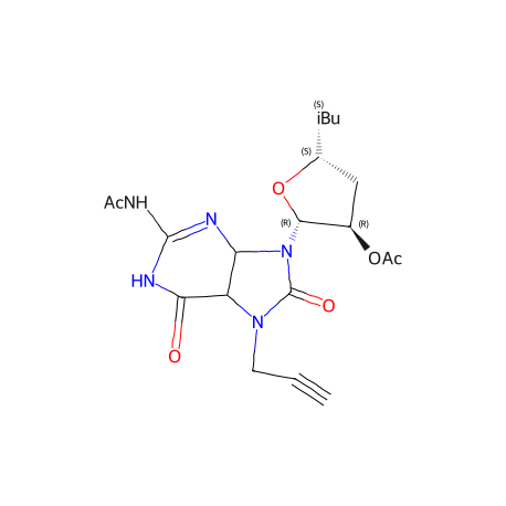 C#CCN1C(=O)N([C@@H]2O[C@H]([C@@H](C)CC)C[C@H]2OC(C)=O)C2N=C(NC(C)=O)NC(=O)C21